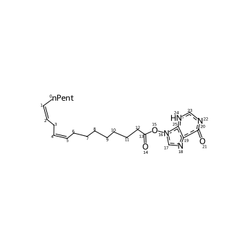 CCCCC/C=C\C/C=C\CCCCCCCC(=O)On1cnc2c(=O)nc[nH]c21